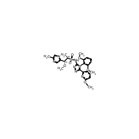 COc1cccc(-c2nnc(NS(=O)(=O)[C@H](C)[C@H](OC)c3cnc(C)cn3)n2-c2c(OC)cccc2OC)n1